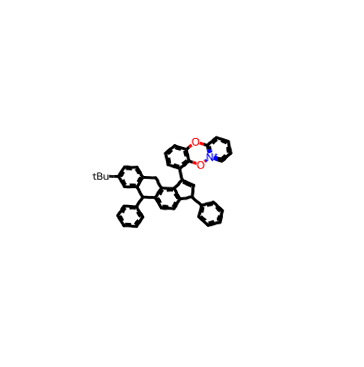 CC(C)(C)c1ccc2c(c1)C(c1ccccc1)c1ccc3c(c1C2)C(c1cccc2c1O[n+]1ccccc1O2)=CC3c1ccccc1